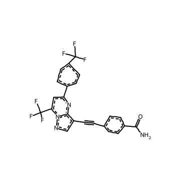 NC(=O)c1ccc(C#Cc2cnn3c(C(F)(F)F)cc(-c4ccc(C(F)(F)F)cc4)nc23)cc1